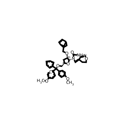 COc1ccc(C(OC[C@H]2[CH][C@@H](OCC3CC4C=CC3C4)[C@H](N3C=C4CCON=C4NC3=O)O2)(c2ccccc2)c2ccc(OC)cc2)cc1